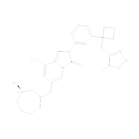 Cn1cnnc1CC1(c2cccc(-n3cc4c(C(F)(F)F)cc(CN5CCCC[C@@H](O)C5)cn4c3=O)c2)COC1